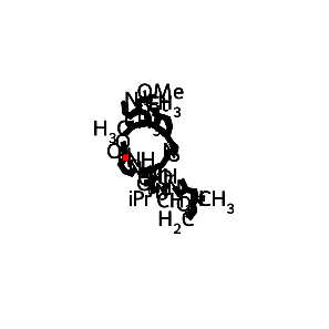 C=CC(=O)N(C)CC1CN(C(=O)N(C)[C@H](C(=O)N[C@H]2Cc3nc(cs3)-c3ccc4c(c3)c(c(-c3cccnc3[C@H](C)OC)n4CC)CC(C)(C)COC(=O)[C@@H]3CCCN(N3)C2=O)C(C)C)C1